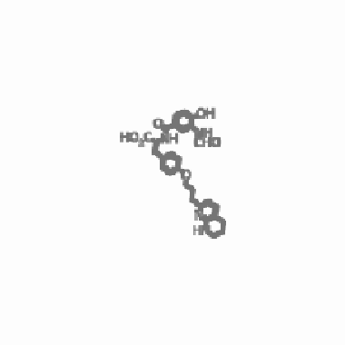 O=CNc1cc(C(=O)N[C@@H](Cc2ccc(OCCCc3ccc4c(n3)NCCC4)cc2)C(=O)O)ccc1O